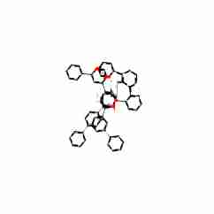 c1ccc(-c2ccc(-c3nc(-c4cccc(-c5ccccc5)c4)nc(-c4cccc5oc6ccc7c8ccccc8n(-c8ccc(-c9cccc(-c%10ccccc%10)c9)cc8)c7c6c45)n3)cc2)cc1